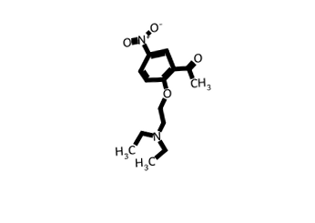 CCN(CC)CCOc1ccc([N+](=O)[O-])cc1C(C)=O